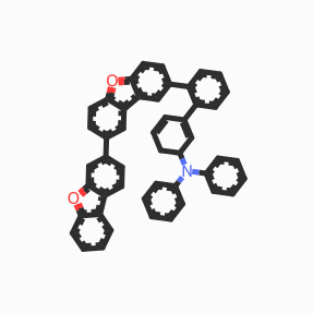 C1=CC(c2ccccc2-c2ccc3oc4ccc(-c5ccc6c(c5)oc5ccccc56)cc4c3c2)=CC(N(c2ccccc2)c2ccccc2)C1